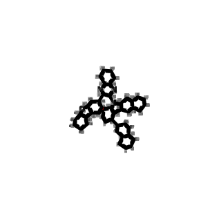 c1ccc2cc(-c3cccc4c3c3cc5ccccc5cc3n4-c3nc4ccccc4nc3-c3ccc4c(c3)oc3ccccc34)ccc2c1